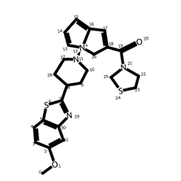 COc1ccc2sc(C3CCN([N@@+]45C=CC=C4C=C(C(=O)N4CCSC4)C5)CC3)nc2c1